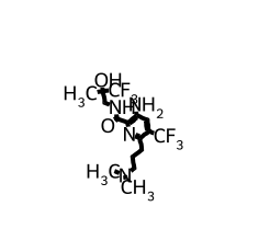 CN(C)CCCc1nc(C(=O)NCC(C)(O)C(F)(F)F)c(N)cc1C(F)(F)F